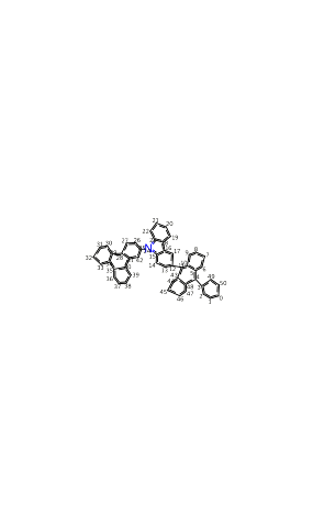 c1ccc(-c2c3ccccc3c(-c3ccc4c(c3)c3ccccc3n4-c3ccc4c5ccccc5c5ccccc5c4c3)c3ccccc23)cc1